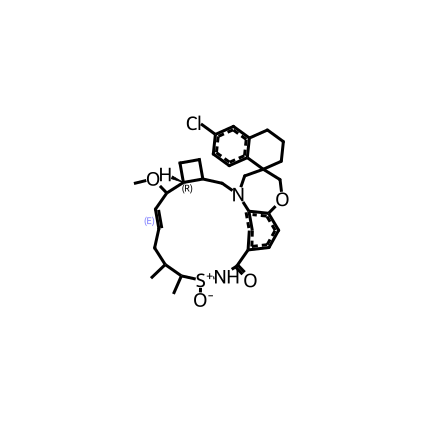 COC1/C=C/CC(C)C(C)[S+]([O-])NC(=O)c2ccc3c(c2)N(CC2CC[C@H]21)CC1(CCCc2cc(Cl)ccc21)CO3